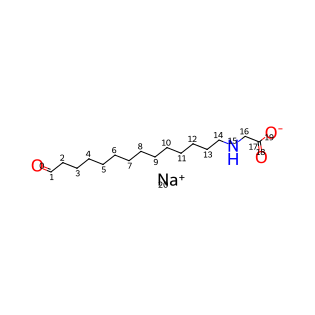 O=CCCCCCCCCCCCCCNCC(=O)[O-].[Na+]